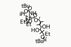 CC[C@H](O[Si](C)(C)C(C)(C)C)C(C)(C)[C@@H](O)[C@@H](O)/C(C)=C(\C)[C@H](C)OC(=O)C(O[Si](CC)(CC)CC)[C@H](CC(C)C)NC(=O)OC(C)(C)C